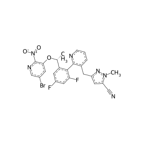 C[C@@H](Oc1cc(Br)cnc1[N+](=O)[O-])c1cc(F)cc(F)c1-c1ncccc1Cc1cc(C#N)n(C)n1